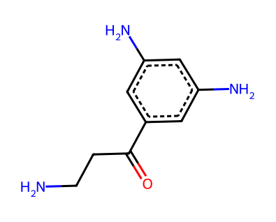 NCCC(=O)c1cc(N)cc(N)c1